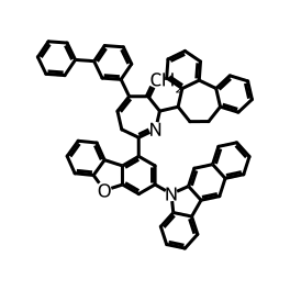 C=C1C(c2cccc(-c3ccccc3)c2)=CCC(c2cc(-n3c4ccccc4c4cc5ccccc5cc43)cc3oc4ccccc4c23)=NC1C1CCc2ccccc2-c2ccccc21